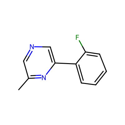 Cc1cncc(-c2ccccc2F)n1